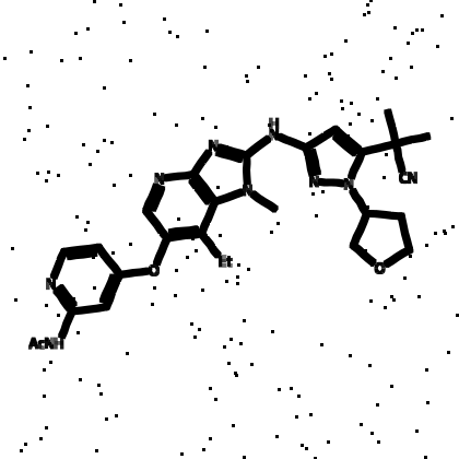 CCc1c(Oc2ccnc(NC(C)=O)c2)cnc2nc(Nc3cc(C(C)(C)C#N)n(C4CCOC4)n3)n(C)c12